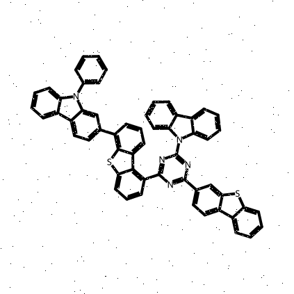 c1ccc(-n2c3ccccc3c3ccc(-c4cccc5c4sc4cccc(-c6nc(-c7ccc8c(c7)sc7ccccc78)nc(-n7c8ccccc8c8ccccc87)n6)c45)cc32)cc1